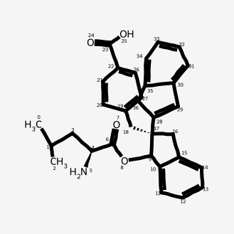 CC(C)C[C@H](N)C(=O)OC1c2ccccc2C[C@]1(Cc1ccc(C(=O)O)cc1)C1=Cc2ccccc2C1